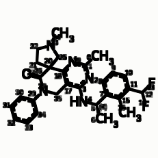 Cc1nc(N[C@H](C)c2cccc(C(F)F)c2C)c2c(n1)C1(CCN(C)C1)C(=O)N(c1ccccc1)C2